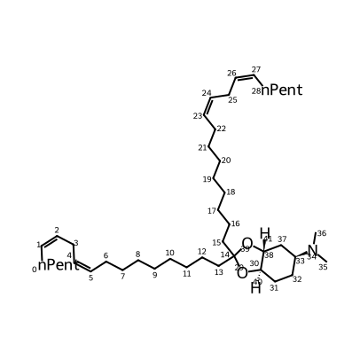 CCCCC/C=C\C/C=C\CCCCCCCCC1(CCCCCCCC/C=C\C/C=C\CCCCC)O[C@@H]2CC[C@H](N(C)C)C[C@H]2O1